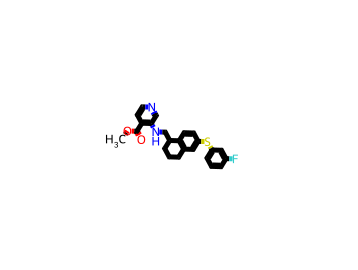 COC(=O)c1ccncc1NCC1CCCc2cc(Sc3cccc(F)c3)ccc21